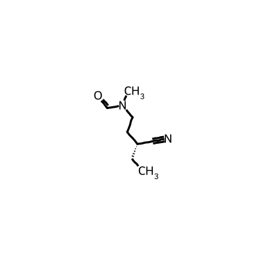 CC[C@@H](C#N)CCN(C)C=O